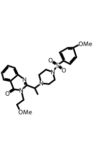 COCCn1c(C(C)N2CCN(S(=O)(=O)c3ccc(OC)cc3)CC2)nc2ccccc2c1=O